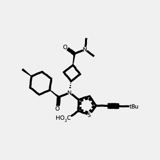 CN(C)C(=O)[C@H]1C[C@H](N(c2cc(C#CC(C)(C)C)sc2C(=O)O)C(=O)[C@H]2CC[C@@H](C)CC2)C1